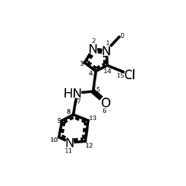 Cn1ncc(C(=O)Nc2ccncc2)c1Cl